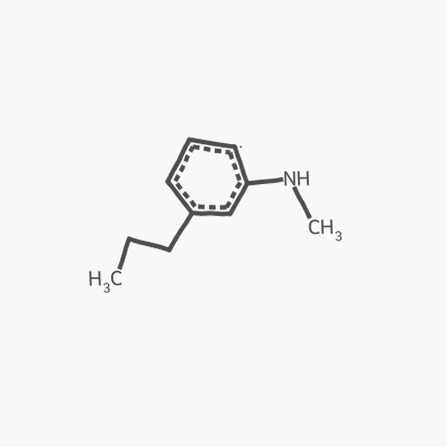 CCCc1cc[c]c(NC)c1